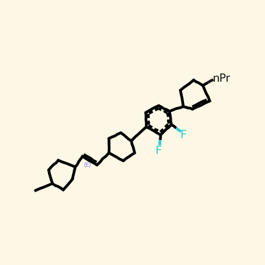 CCCC1C=CC(c2ccc(C3CCC(/C=C/C4CCC(C)CC4)CC3)c(F)c2F)CC1